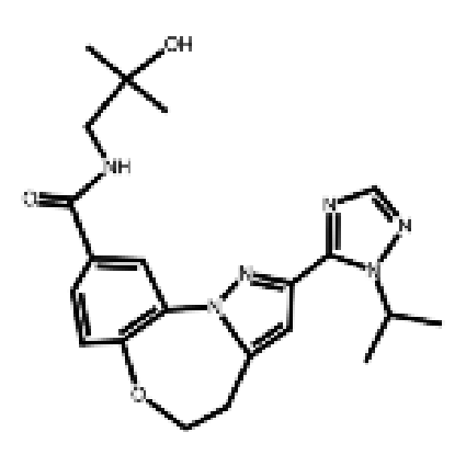 CC(C)n1ncnc1-c1cc2n(n1)-c1cc(C(=O)NCC(C)(C)O)ccc1OCC2